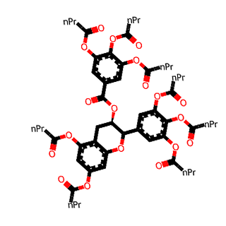 CCCC(=O)Oc1cc(OC(=O)CCC)c2c(c1)OC(c1cc(OC(=O)CCC)c(OC(=O)CCC)c(OC(=O)CCC)c1)[C@H](OC(=O)c1cc(OC(=O)CCC)c(OC(=O)CCC)c(OC(=O)CCC)c1)C2